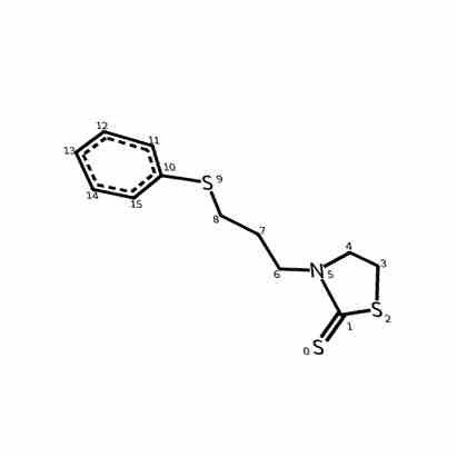 S=C1SCCN1CCCSc1ccccc1